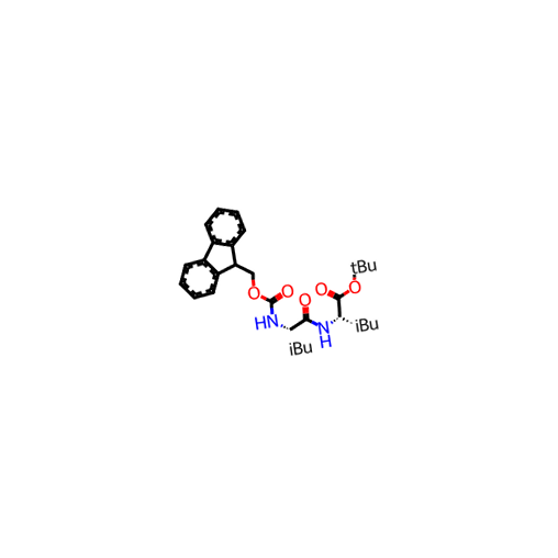 CC[C@H](C)[C@H](NC(=O)OCC1c2ccccc2-c2ccccc21)C(=O)N[C@H](C(=O)OC(C)(C)C)[C@@H](C)CC